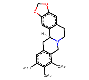 COc1cc2c(c(OC)c1OC)CN1CCc3cc4c(cc3[C@@H]1C2)OCO4